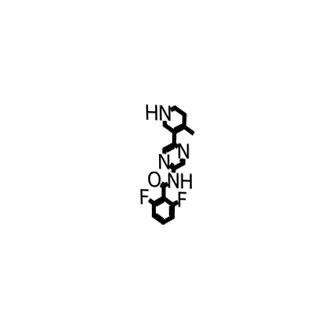 CC1=C(c2cnc(NC(=O)c3c(F)cccc3F)cn2)CNCC1